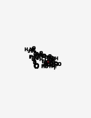 CCC(=O)O[C@]1(C(=O)SCF)[C@H](O)C[C@H]2[C@@H]3C[C@H](F)C4=CC(=O)C=C[C@]4(C)[C@@]3(F)[C@@H](OP(=O)(O)OP(=O)(O)OCc3ccc(NC(=O)[C@H](CCCNC(N)=O)NC(=O)[C@@H](NC(=O)COC4C#CCCCCC4)C(C)C)cc3)C[C@@]21C